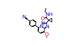 CCNC(=O)C1(c2nc3c(OC)ccc(-c4ccc(C#N)cc4)n3n2)CC1